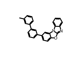 Cc1cccc(-c2cccc(-c3ccc4oc5nc6ccccc6n5c4c3)c2)c1